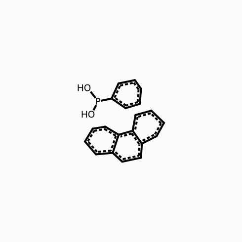 OP(O)c1ccccc1.c1ccc2c(c1)ccc1ccccc12